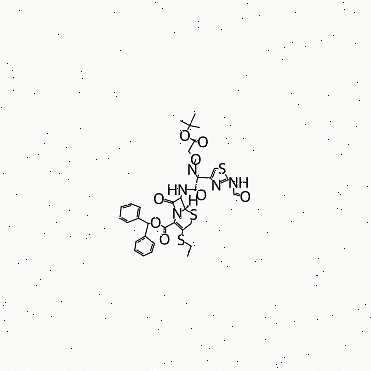 CCSC1=C(C(=O)OC(c2ccccc2)c2ccccc2)N2C(=O)C(NC(=O)C(=NOCC(=O)OC(C)(C)C)c3csc(NC=O)n3)[C@@H]2SC1